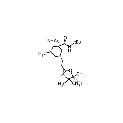 CC(=O)N[C@]1(C(=O)NC(C)(C)C)C[C@H](CCB2OC(C)(C)C(C)(C)O2)CN(C)C1